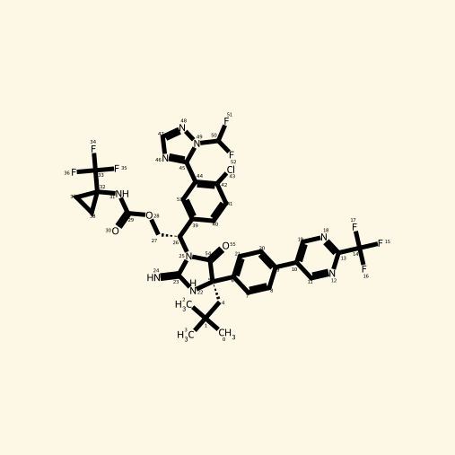 CC(C)(C)C[C@]1(c2ccc(-c3cnc(C(F)(F)F)nc3)cc2)NC(=N)N([C@H](COC(=O)NC2(C(F)(F)F)CC2)c2ccc(Cl)c(-c3ncnn3C(F)F)c2)C1=O